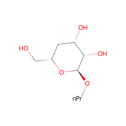 CCCO[C@H]1O[C@H](CO)C[C@H](O)[C@@H]1O